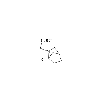 O=C([O-])CN1CC2CCC1C2.[K+]